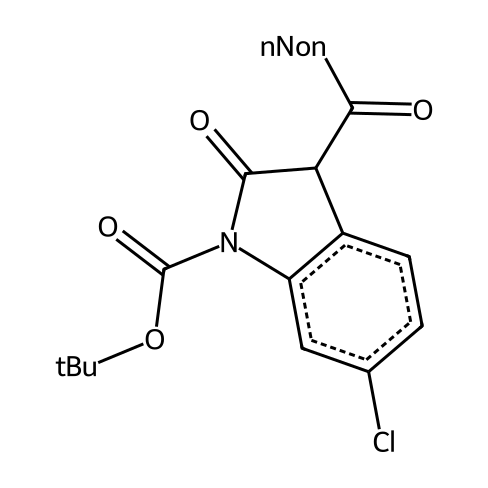 CCCCCCCCCC(=O)C1C(=O)N(C(=O)OC(C)(C)C)c2cc(Cl)ccc21